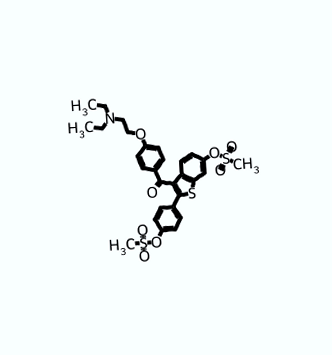 CCN(CC)CCOc1ccc(C(=O)c2c(-c3ccc(OS(C)(=O)=O)cc3)sc3cc(OS(C)(=O)=O)ccc23)cc1